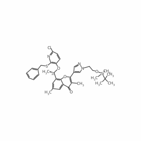 Cc1cc([C@@H](C)Oc2ccc(Cl)nc2SCc2ccccc2)c2oc(-c3cnn(CCO[Si](C)(C)C(C)(C)C)c3)c(C)c(=O)c2c1